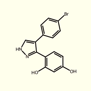 Oc1ccc(-c2n[nH]cc2-c2ccc(Br)cc2)c(O)c1